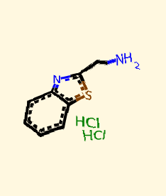 Cl.Cl.NCc1nc2ccccc2s1